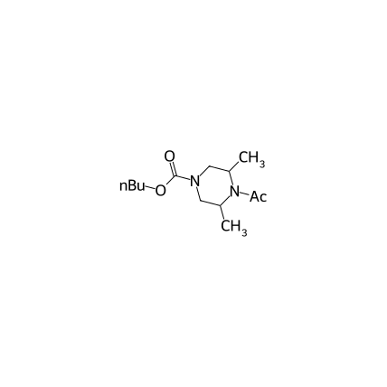 CCCCOC(=O)N1CC(C)N(C(C)=O)C(C)C1